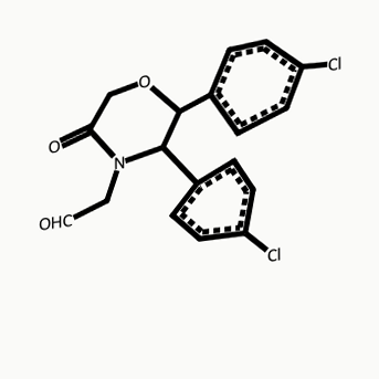 O=CCN1C(=O)COC(c2ccc(Cl)cc2)C1c1ccc(Cl)cc1